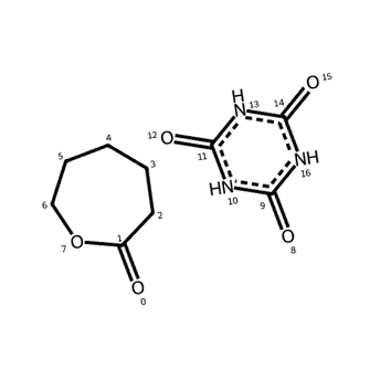 O=C1CCCCCO1.O=c1[nH]c(=O)[nH]c(=O)[nH]1